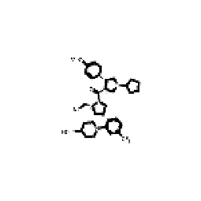 COC1=CCC([C@@H]2CN(C3CCCC3)C[C@H]2C(=O)N2C[C@H](c3ccc(C(F)(F)F)cc3N3CCC(C(=O)O)CC3)C[C@H]2CC#N)C=C1